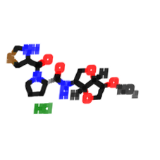 Cl.O=C(N[C@H]1CO[C@H]2[C@@H]1OC[C@@H]2O[N+](=O)[O-])[C@@H]1CCCN1C(=O)C1CSCN1